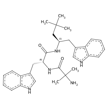 CC(C)(C)C[C@@H](Cc1c[nH]c2ccccc12)NC(=O)[C@@H](Cc1c[nH]c2ccccc12)NC(=O)C(C)(C)N